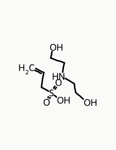 C=CCS(=O)(=O)O.OCCNCCO